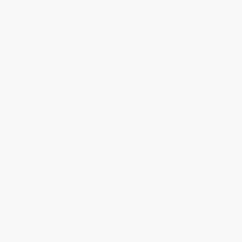 Cc1cc(SCc2ccc(-c3ccc(C(F)(F)F)cc3)cc2)c(O)cc1OCC(=O)O